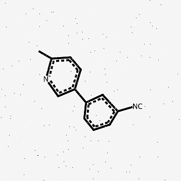 [C-]#[N+]c1cccc(-c2ccc(C)nc2)c1